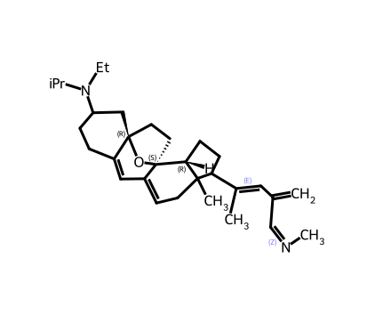 C=C(/C=N\C)/C=C(\C)C1CC[C@@H]2C1(C)CC=C1C=C3CCC(N(CC)C(C)C)C[C@]34CC[C@@]12O4